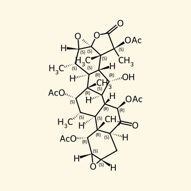 CC(=O)O[C@H]1C(=O)[C@H]2C[C@@H]3O[C@@H]3[C@H](OC(C)=O)[C@]2(C)[C@H]2[C@H](C)[C@H](OC(C)=O)[C@@]3(C)[C@@H]([C@@H](O)[C@@H]4[C@@H]3[C@H](C)[C@@H]3O[C@@]35OC(=O)[C@@](C)(OC(C)=O)[C@]45C)[C@@H]21